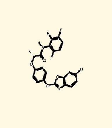 C[C@@H](Oc1ccc(Oc2nc3ccc(Cl)cc3o2)cc1)C(=O)N(C)c1c(F)ccc(F)c1F